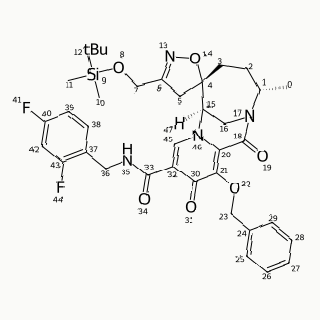 C[C@H]1CC[C@]2(CC(CO[Si](C)(C)C(C)(C)C)=NO2)[C@H]2CN1C(=O)c1c(OCc3ccccc3)c(=O)c(C(=O)NCc3ccc(F)cc3F)cn12